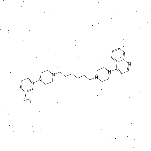 Cc1cccc(N2CCN(CCCCCCN3CCN(c4ccnc5ccccc45)CC3)CC2)c1